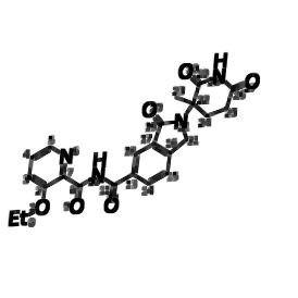 CCOc1cccnc1C(=O)NC(=O)c1ccc2c(c1)C(=O)N(C1(C)CCC(=O)NC1=O)C2